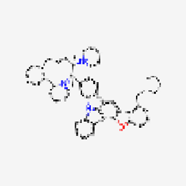 CC12/C=C/Cc3ccccc3-c3cccc[n+]3C1(C)c1cc3c(cc1-c1cccc[n+]12)c1cc2c(oc4cccc(CC5CCCC5)c42)c2c4ccccc4n3c12